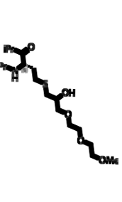 COCCOCCOCC(O)CSCC[C@H](NC(C)C)C(=O)C(C)C